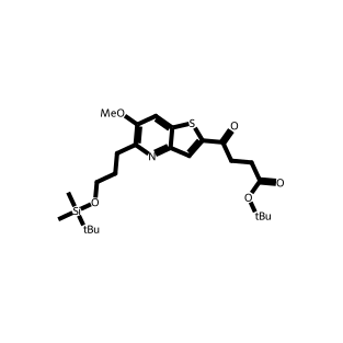 COc1cc2sc(C(=O)CCC(=O)OC(C)(C)C)cc2nc1CCCO[Si](C)(C)C(C)(C)C